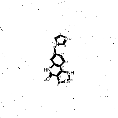 O=c1[nH]c2cc(Cn3ccnc3)ccc2c2c1CCCN2